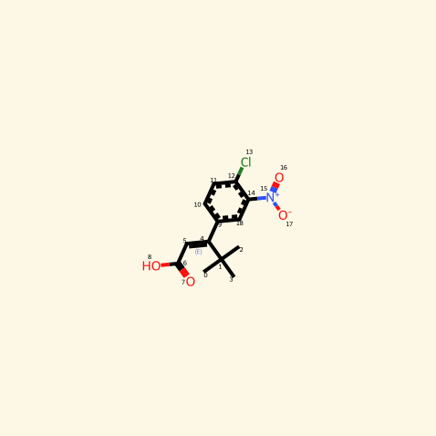 CC(C)(C)/C(=C\C(=O)O)c1ccc(Cl)c([N+](=O)[O-])c1